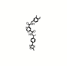 Cc1nc(-c2ccc([C@H](C)NC(=O)c3cc(C(=O)NCc4ccc(F)c(C)c4)ncn3)cc2)no1